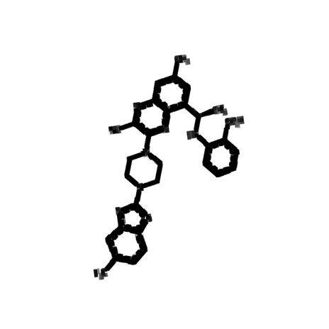 Cc1cc([C@@H](C)Nc2ccccc2C(=O)O)c2nc(N3CCN(c4nc5cc(C(F)(F)F)ccc5s4)CC3)c(C#N)nc2c1